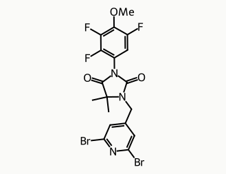 COc1c(F)cc(N2C(=O)N(Cc3cc(Br)nc(Br)c3)C(C)(C)C2=O)c(F)c1F